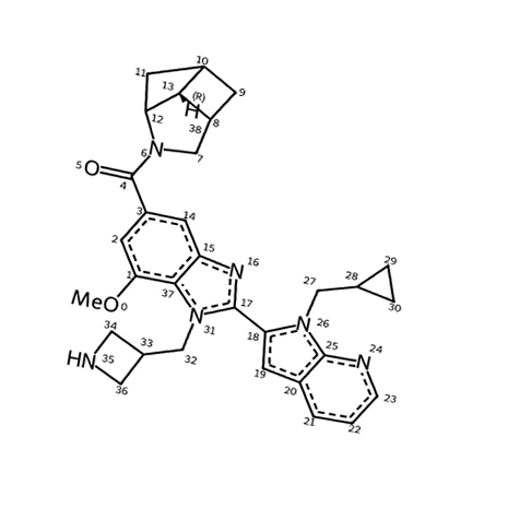 COc1cc(C(=O)N2CC3CC4CC2[C@H]43)cc2nc(-c3cc4cccnc4n3CC3CC3)n(CC3CNC3)c12